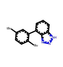 CCC(C)c1ccc(C(C)(C)C)cc1-c1cccc2[nH]nnc12